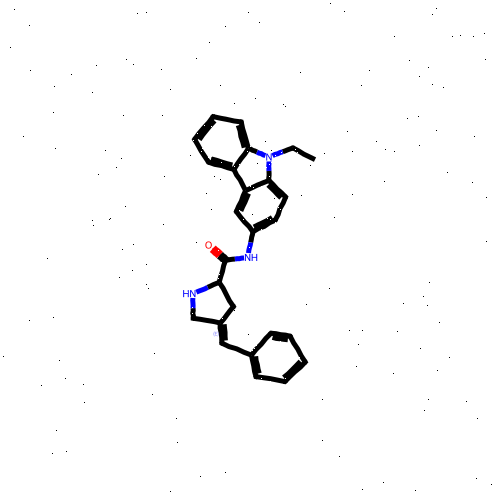 CCn1c2ccccc2c2cc(NC(=O)C3C/C(=C\c4ccccc4)CN3)ccc21